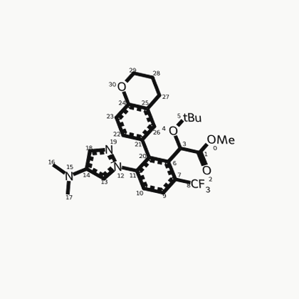 COC(=O)C(OC(C)(C)C)c1c(C(F)(F)F)ccc(-n2cc(N(C)C)cn2)c1-c1ccc2c(c1)CCCO2